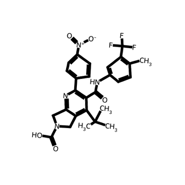 Cc1ccc(NC(=O)c2c(-c3ccc([N+](=O)[O-])cc3)nc3c(c2C(C)(C)C)CN(C(=O)O)C3)cc1C(F)(F)F